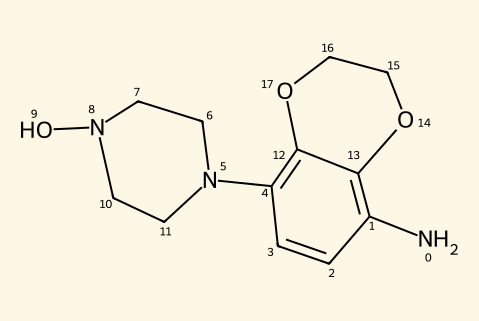 Nc1ccc(N2CCN(O)CC2)c2c1OCCO2